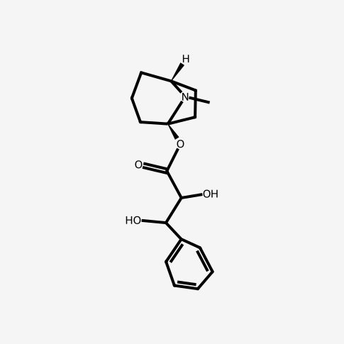 CN1[C@@H]2CCC[C@@]1(OC(=O)C(O)C(O)c1ccccc1)CC2